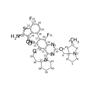 C[C@H]1CN2CCCC2(COc2nc3c4c(c(Cl)c(-c5ccc(F)c6sc(N)c(C#N)c56)c(F)c4n2)OCCC2CCCCN32)C1